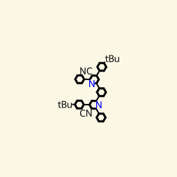 [C-]#[N+]c1c(-c2ccc(C(C)(C)C)cc2)cc(-c2cccc(-c3cc(-c4ccc(C(C)(C)C)cc4)c(C#N)c(-c4ccccc4)n3)c2)nc1-c1ccccc1